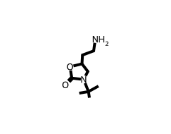 CC(C)(C)N1CC(CCN)OC1=O